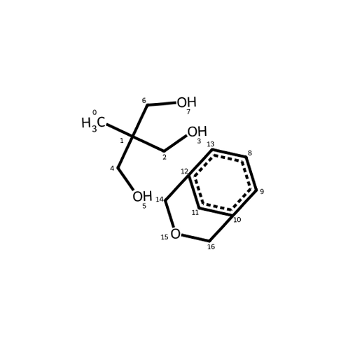 CC(CO)(CO)CO.c1cc2cc(c1)COC2